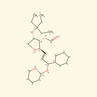 CC[Si](CC)(CC)O[C@H]1CO[C@H](/C=C/C(OC2CCCCO2)C2CCCCC2)[C@H]1CC=O